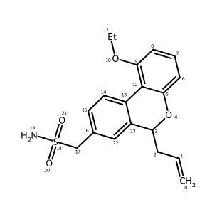 C=CCC1Oc2cccc(OCC)c2-c2ccc(CS(N)(=O)=O)cc21